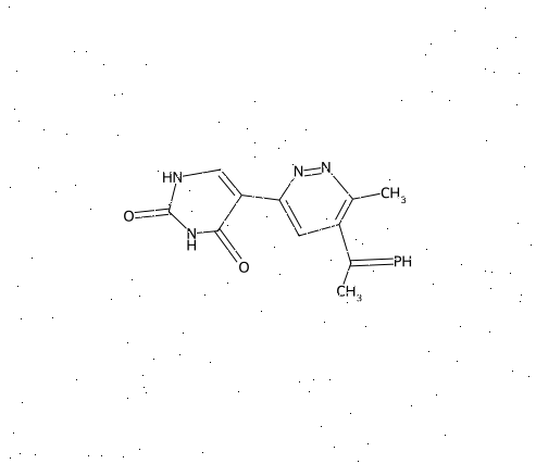 CC(=P)c1cc(-c2c[nH]c(=O)[nH]c2=O)nnc1C